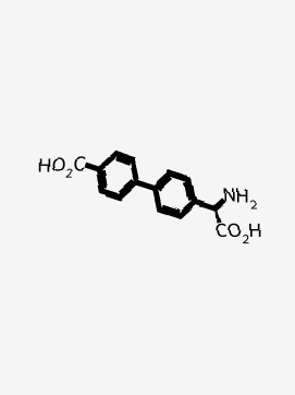 N[C@@H](C(=O)O)c1ccc(-c2ccc(C(=O)O)cc2)cc1